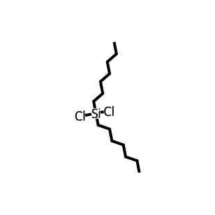 CCCCCCC[Si](Cl)(Cl)CCCCCCC